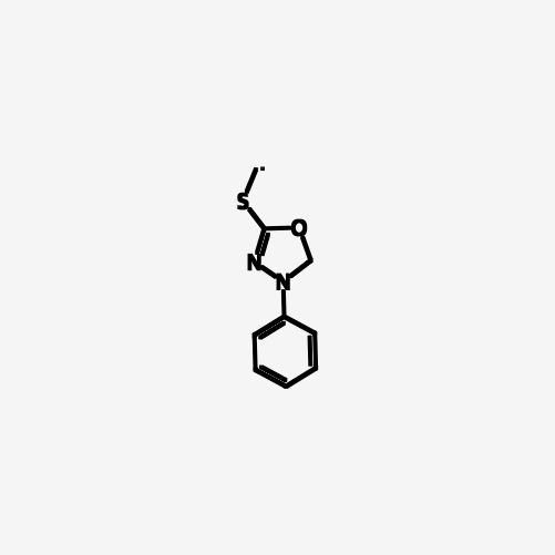 [CH2]SC1=NN(c2ccccc2)CO1